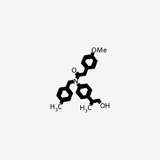 COc1ccc(CC(=O)N(Cc2ccc(C)cc2)c2ccc(C(C)CO)cc2)cc1